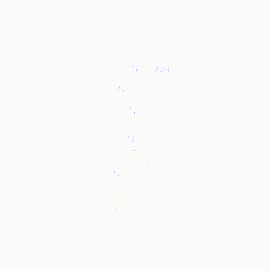 Nc1cc(N2CCN(C(=O)CN3CCOCC3)CC2)ncn1